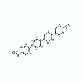 CCC[C@H]1CC[C@H](C2CCC(c3ccc(-c4ccc(CCl)cc4)cc3)CC2)CC1